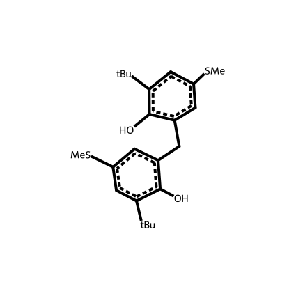 CSc1cc(Cc2cc(SC)cc(C(C)(C)C)c2O)c(O)c(C(C)(C)C)c1